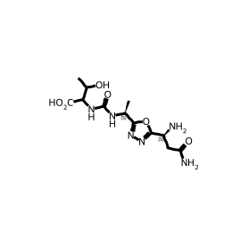 CC(O)C(NC(=O)N[C@@H](C)c1nnc([C@@H](N)CC(N)=O)o1)C(=O)O